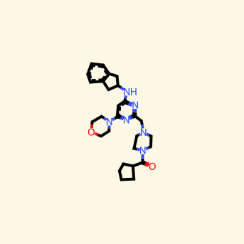 O=C(C1CCCC1)N1CCN(Cc2nc(NC3Cc4ccccc4C3)cc(N3CCOCC3)n2)CC1